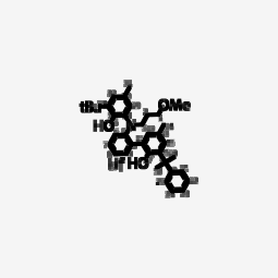 COCCCN(c1ccccc1-c1cc(C)cc(C(C)(C)c2ccccc2)c1O)c1cc(C)cc(C(C)(C)C)c1O.[Hf]